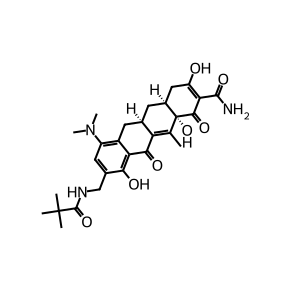 CC1=C2C(=O)c3c(O)c(CNC(=O)C(C)(C)C)cc(N(C)C)c3C[C@H]2C[C@H]2CC(O)=C(C(N)=O)C(=O)[C@@]12O